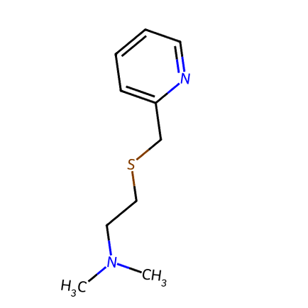 CN(C)CCSCc1ccccn1